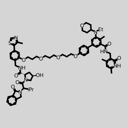 CCN(c1cc(-c2ccc(OCCCOCCCOCCCOc3cc(-c4scnc4C)ccc3CNC(=O)[C@@H]3C[C@@H](O)CN3C(=O)C(C(C)C)N3Cc4ccccc4C3=O)cc2)cc(C(=O)NCc2c(C)cc(C)[nH]c2=O)c1C)C1CCOCC1